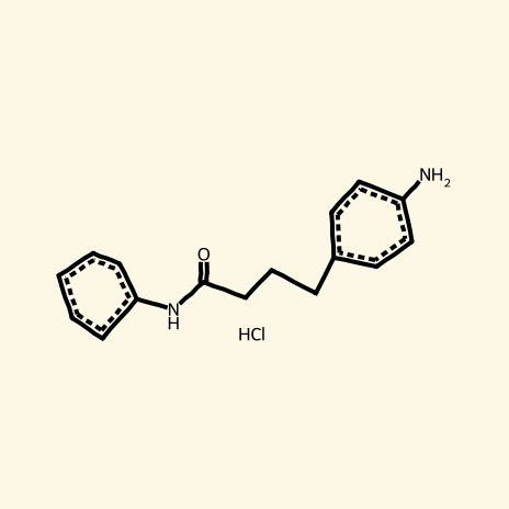 Cl.Nc1ccc(CCCC(=O)Nc2ccccc2)cc1